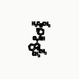 Cc1cccc2c(C(=O)Nc3ccc(N(C)C)nc3)cn(C)c12